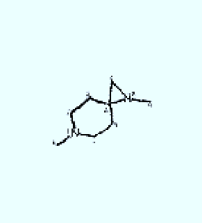 CN1CCC2(CC1)CN2C